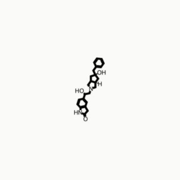 O=C1Cc2cc(C(O)CN3CC4C[C@](O)(Cc5ccccc5)C[C@H]4C3)ccc2N1